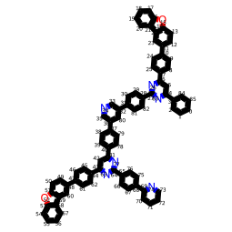 c1ccc(-c2cc(-c3ccc(-c4ccc5oc6ccccc6c5c4)cc3)nc(-c3ccc(-c4cncc(-c5ccc(-c6cc(-c7ccc(-c8ccc9oc%10ccccc%10c9c8)cc7)nc(-c7ccc(-c8ccccn8)cc7)n6)cc5)c4)cc3)n2)cc1